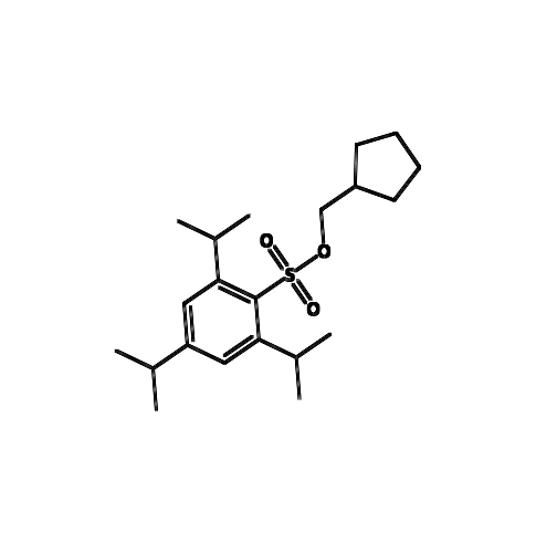 CC(C)c1cc(C(C)C)c(S(=O)(=O)OCC2CCCC2)c(C(C)C)c1